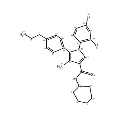 Cc1c(C(=O)NN2CCCCC2)nn(-c2ccc(Cl)cc2Cl)c1-c1ccc(CCN)cc1